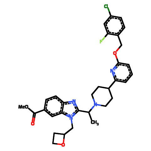 COC(=O)c1ccc2nc(C(C)N3CCC(c4cccc(OCc5ccc(Cl)cc5F)n4)CC3)n(CC3CCO3)c2c1